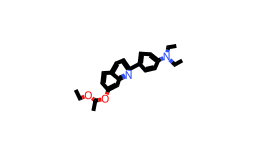 CCOC(C)Oc1ccc2ccc(-c3ccc(N(CC)CC)cc3)nc2c1